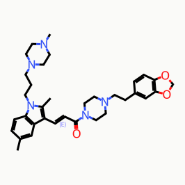 Cc1ccc2c(c1)c(/C=C/C(=O)N1CCN(CCc3ccc4c(c3)OCO4)CC1)c(C)n2CCCN1CCN(C)CC1